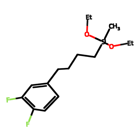 CCO[Si](C)(CCCCc1ccc(F)c(F)c1)OCC